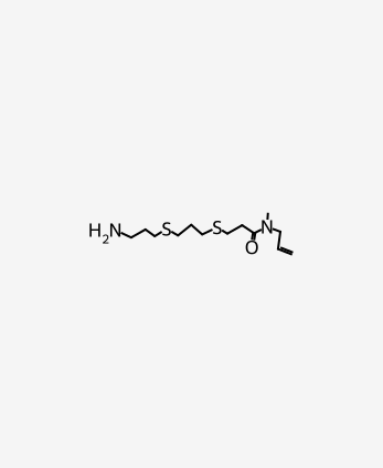 C=CCN(C)C(=O)CCSCCCSCCCN